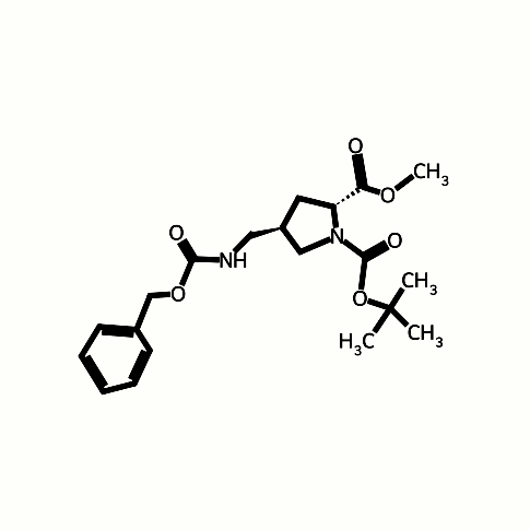 COC(=O)[C@H]1C[C@H](CNC(=O)OCc2ccccc2)CN1C(=O)OC(C)(C)C